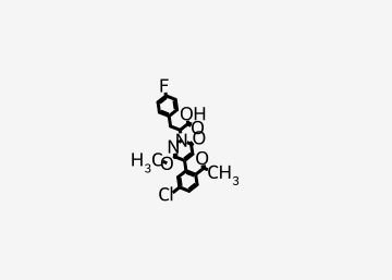 COc1nn(C(Cc2ccc(F)cc2)C(=O)O)c(=O)cc1-c1cc(Cl)ccc1C(C)=O